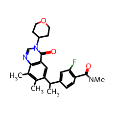 CNC(=O)c1ccc(C(C)c2cc3c(=O)n(C4CCOCC4)cnc3c(C)c2C)cc1F